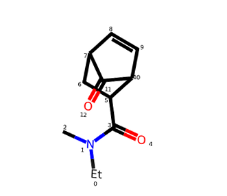 CCN(C)C(=O)C1CC2C=CC1C2=O